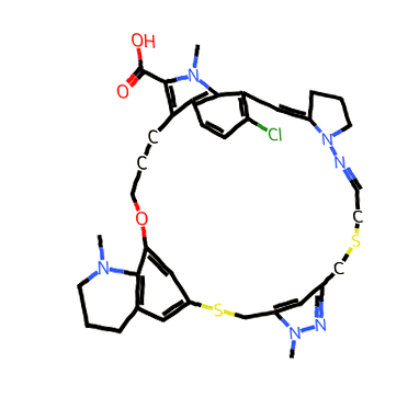 CN1CCCc2cc3cc(c21)OCCCc1c(C(=O)O)n(C)c2c(c(Cl)ccc12)/C=C1\CCCN1/N=C/CSCc1cc(n(C)n1)CS3